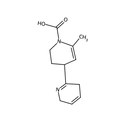 CC1=CC(C2=NCC=CC2)CCN1C(=O)O